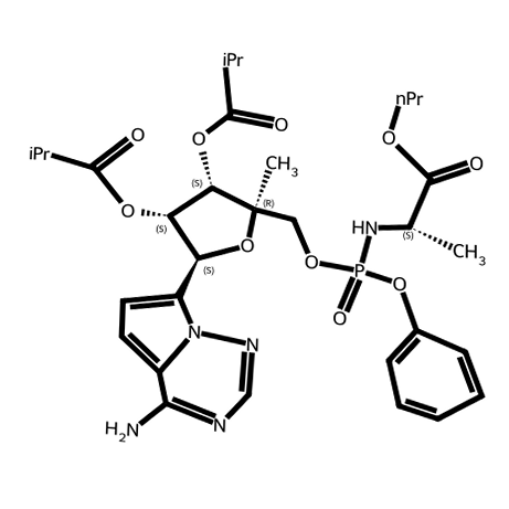 CCCOC(=O)[C@H](C)NP(=O)(OC[C@@]1(C)O[C@@H](c2ccc3c(N)ncnn23)[C@H](OC(=O)C(C)C)[C@@H]1OC(=O)C(C)C)Oc1ccccc1